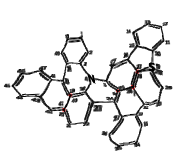 c1ccc(N(c2ccc3sc4ccccc4c3c2)c2ccccc2-c2cc3ccccc3c3ccccc23)c(-c2cccc3ccccc23)c1